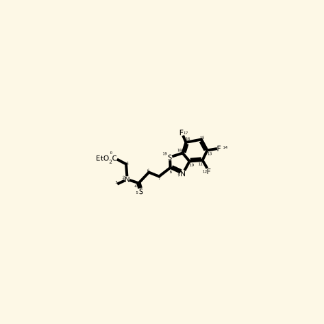 CCOC(=O)CN(C)C(=S)CCc1nc2c(F)c(F)cc(F)c2s1